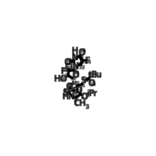 CC(C)OC(=O)[C@@H](C)N[P@](=S)(OCCSC(=O)C(C)(C)C)OC[C@H]1O[C@@H](n2cc(F)c(=O)[nH]c2=O)[C@](F)(Cl)[C@@H]1O